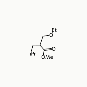 CCOCC(CC(C)C)C(=O)OC